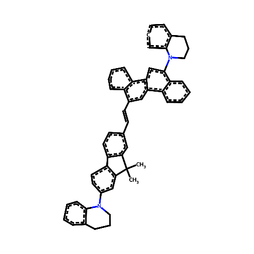 CC1(C)c2cc(/C=C/c3cc4c5ccccc5c(N5CCCc6ccccc65)cc4c4ccccc34)ccc2-c2ccc(N3CCCc4ccccc43)cc21